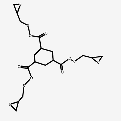 O=C(OSCC1CS1)C1CC(C(=O)OSCC2CS2)CC(C(=O)OSCC2CS2)C1